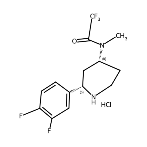 CN(C(=O)C(F)(F)F)[C@@H]1CCN[C@H](c2ccc(F)c(F)c2)C1.Cl